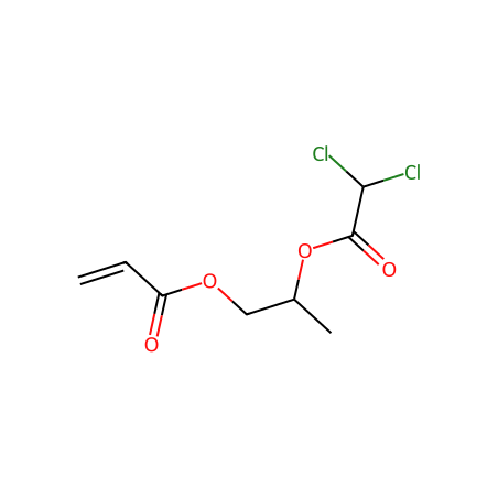 C=CC(=O)OCC(C)OC(=O)C(Cl)Cl